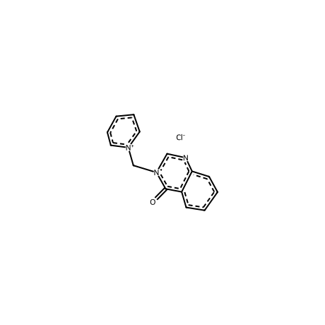 O=c1c2ccccc2ncn1C[n+]1ccccc1.[Cl-]